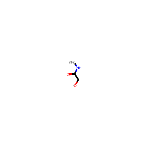 CCCNC(=O)C[O]